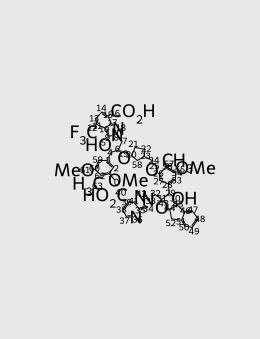 COc1cc(C(O)C(Cn2cc3c(C(F)(F)F)ccc(C(=O)O)c3n2)OC2CCC(COc3cc(C(O)C(Cn4cc5nccc(C(=O)O)c5n4)OC4Cc5ccccc5C4)cc(OC)c3C)C2)cc(OC)c1C